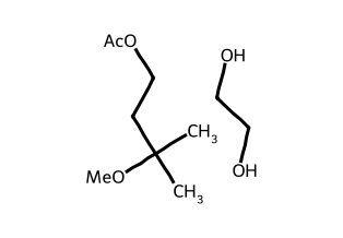 COC(C)(C)CCOC(C)=O.OCCO